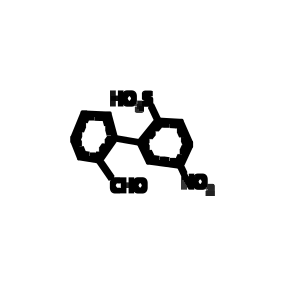 O=Cc1ccccc1-c1cc([N+](=O)[O-])ccc1S(=O)(=O)O